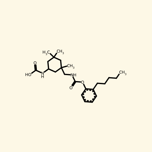 CCCCCc1ccccc1OC(=O)NCC1(C)CC(NC(=O)O)CC(C)(C)C1